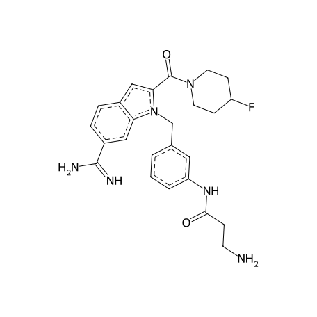 N=C(N)c1ccc2cc(C(=O)N3CCC(F)CC3)n(Cc3cccc(NC(=O)CCN)c3)c2c1